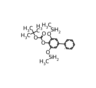 C[SiH2]Oc1cc(-c2[c]cccc2)cc(O[SiH2]C)c1OC(=O)OC(C)(C)C